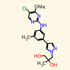 COc1nc(Nc2cc(C)cc(-c3cnn(C[C@](C)(O)CO)c3)c2)ncc1Cl